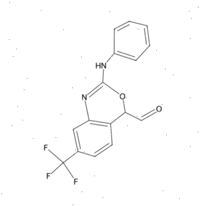 O=CC1OC(Nc2ccccc2)=Nc2cc(C(F)(F)F)ccc21